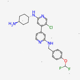 N[C@H]1CC[C@H](Nc2cc(-c3ccnc(NCc4ccc(OC(F)F)cc4)c3)c(Cl)cn2)CC1